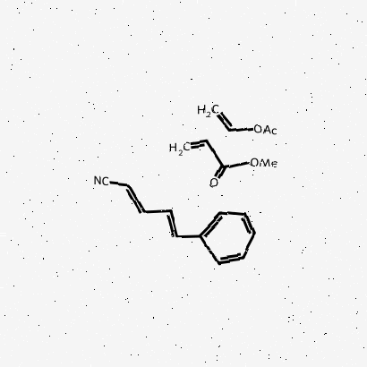 C=CC(=O)OC.C=COC(C)=O.N#CC=CC=Cc1ccccc1